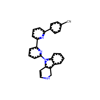 N#Cc1ccc(-c2cccc(-c3cccc(-n4c5c(c6ccccc64)CNC=C5)n3)n2)cc1